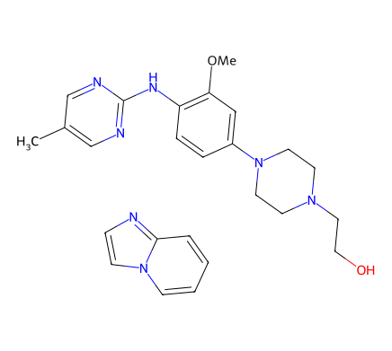 COc1cc(N2CCN(CCO)CC2)ccc1Nc1ncc(C)cn1.c1ccn2ccnc2c1